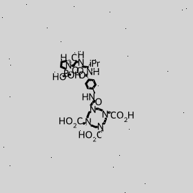 CC(C)[C@H](NC(=O)[C@H]1CC[C@H](CNC(=O)CN2CCN(CC(=O)O)CCN(CC(=O)O)CCN(CC(=O)O)CC2)CC1)C(=O)N[C@H](C)C(=O)N1CCC[C@H]1B(O)O